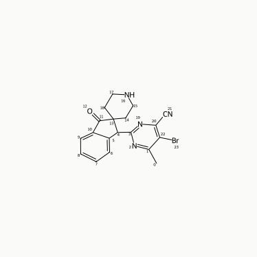 Cc1nc(C2c3ccccc3C(=O)C23CCNCC3)nc(C#N)c1Br